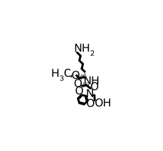 CCOC(=O)[C@H](CCCCCCN)N[C@H]1COc2ccccc2N(CC(=O)O)C1=O